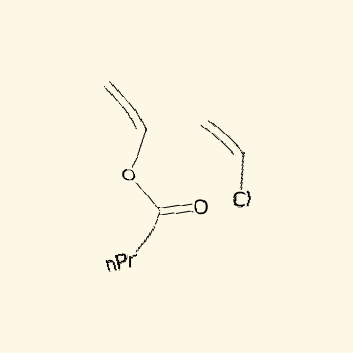 C=CCl.C=COC(=O)CCC